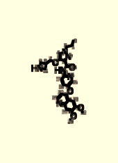 CCCn1cc(OCC2CNC2)c(C(=O)Nc2ccc(Oc3ccnc4cc(OC)c(OC)cc34)cn2)n1